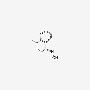 CC1CC/C(=N\O)c2ccccc21